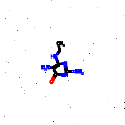 CCNc1nc(N)[nH]c(=O)c1N